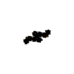 c1ccc2c(c1)sc1ccc(-c3ccc4c5ccccc5c5c6cc(-c7ccc8sc9ccccc9c8c7)ccc6c6ccccc6c5c4c3)cc12